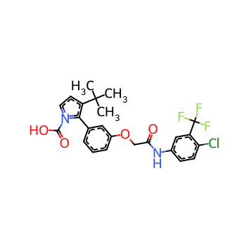 CC(C)(C)c1ccn(C(=O)O)c1-c1cccc(OCC(=O)Nc2ccc(Cl)c(C(F)(F)F)c2)c1